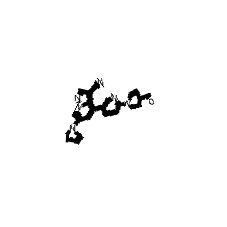 N#Cc1cnn2cc(N3CCCC3)cc(-c3ccc(N4CCC(C=O)CC4)nc3)c12